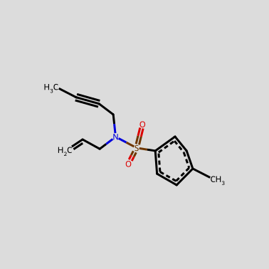 C=CCN(CC#CC)S(=O)(=O)c1ccc(C)cc1